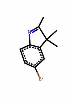 CC1=Nc2ccc(Br)cc2C1(C)C